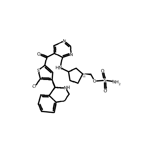 NS(=O)(=O)OC[C@H]1CCC(Nc2ncncc2C(=O)c2cc(C3NCCc4ccccc43)c(Cl)s2)C1